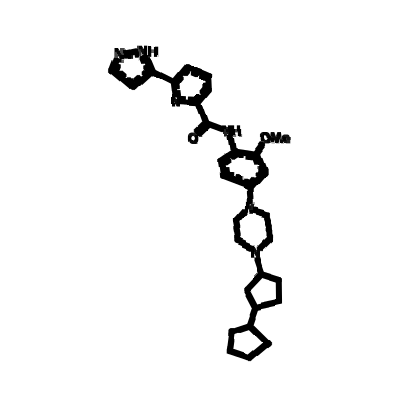 COc1cc(N2CCN(C3CCC(C4CCCC4)C3)CC2)ccc1NC(=O)c1cccc(-c2ccn[nH]2)n1